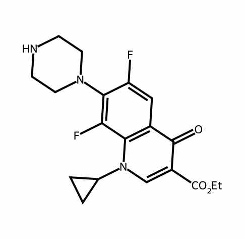 CCOC(=O)c1cn(C2CC2)c2c(F)c(N3CCNCC3)c(F)cc2c1=O